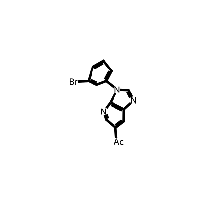 CC(=O)c1cnc2c(c1)ncn2-c1cccc(Br)c1